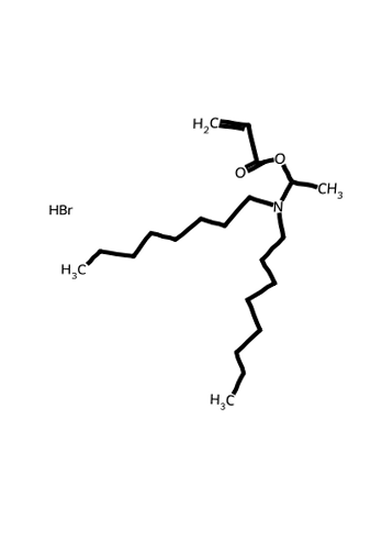 Br.C=CC(=O)OC(C)N(CCCCCCCC)CCCCCCCC